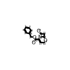 O=C(OCc1ccccc1)C1=CCOC2CC(=O)N12